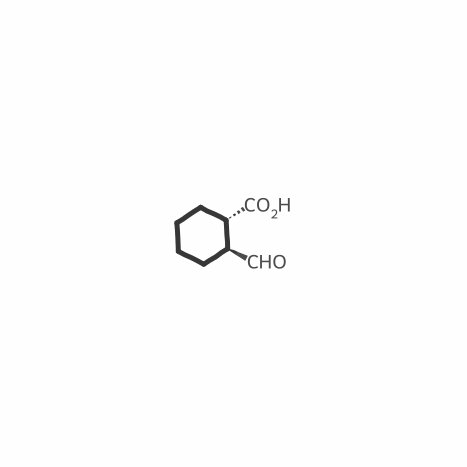 O=C[C@H]1CCCC[C@@H]1C(=O)O